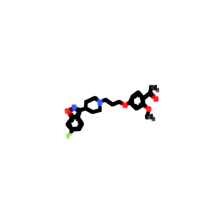 COc1cc(OCCCN2CCC(c3noc4cc(F)ccc34)CC2)ccc1C(C)=O